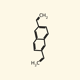 C=Cc1ccc2cc(C=C)ccc2c1